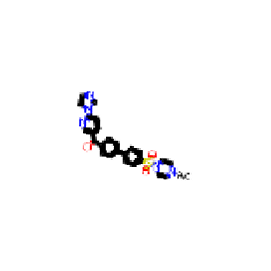 CC(=O)N1CCN(S(=O)(=O)c2ccc(-c3ccc(C(=O)c4ccc(-n5ccnc5)nc4)cc3)cc2)CC1